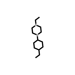 CCC1CCC(N2CCN(CC)CC2)CC1